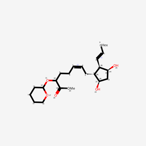 CCCCCC/C=C/[C@@H]1[C@@H](C/C=C\CCC(OC2CCCCO2)C(=O)OC)[C@H](O)C[C@@H]1O